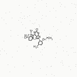 C=CCOc1ccc(C)cc1-c1nc2nc(Cl)nc(N[C@H](C)C3CC3)c2n1Cc1ccc(Cl)cc1